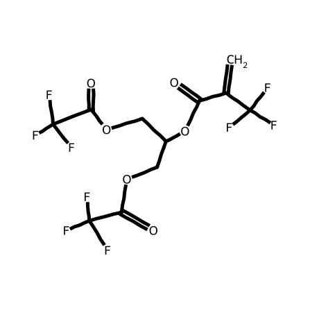 C=C(C(=O)OC(COC(=O)C(F)(F)F)COC(=O)C(F)(F)F)C(F)(F)F